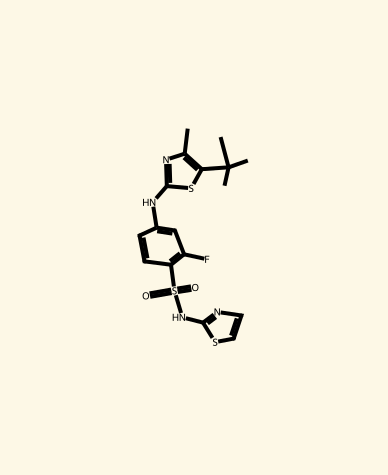 Cc1nc(Nc2ccc(S(=O)(=O)Nc3nccs3)c(F)c2)sc1C(C)(C)C